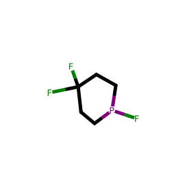 FP1CCC(F)(F)CC1